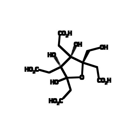 O=C(O)CC1(O)O[C@@](CO)(CC(=O)O)[C@](O)(CC(=O)O)[C@]1(O)CC(=O)O